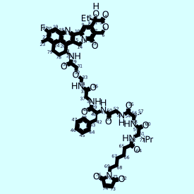 CC[C@@]1(O)C(=O)OCc2c1cc1n(c2=O)Cc2c-1nc1cc(F)c(C)c3c1c2[C@@H](NC(=O)COCNC(=O)CNC(=O)[C@H](Cc1ccccc1)NC(=O)CNC(=O)[C@H](C)NC(=O)[C@@H](NC(=O)CCCCCN1C(=O)C=CC1=O)C(C)C)CC3